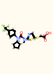 CN(C(=O)N(c1ccc(C(F)(F)F)cc1)C1CCCC1)c1ncc(SCC(=O)O)s1